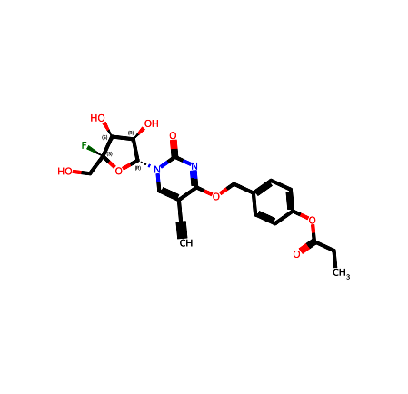 C#Cc1cn([C@@H]2O[C@](F)(CO)[C@@H](O)[C@H]2O)c(=O)nc1OCc1ccc(OC(=O)CC)cc1